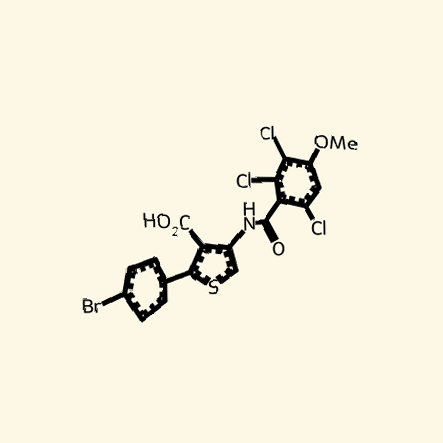 COc1cc(Cl)c(C(=O)Nc2csc(-c3ccc(Br)cc3)c2C(=O)O)c(Cl)c1Cl